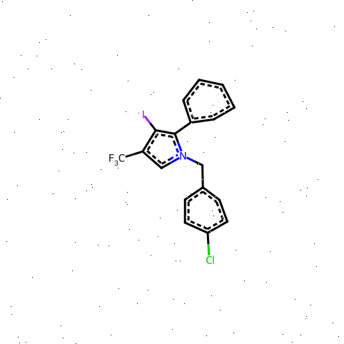 FC(F)(F)c1cn(Cc2ccc(Cl)cc2)c(-c2ccccc2)c1I